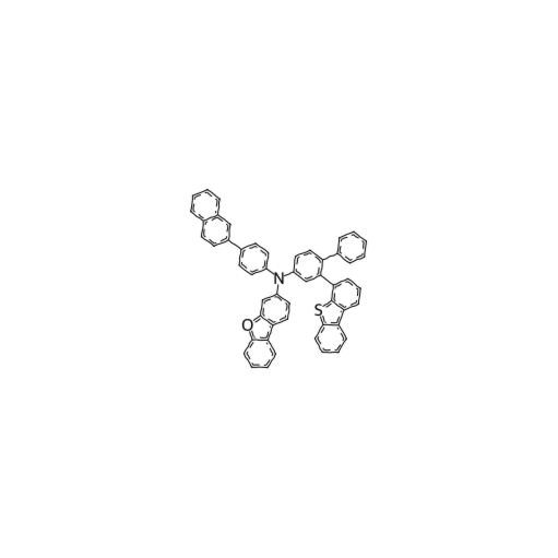 c1ccc(-c2ccc(N(c3ccc(-c4ccc5ccccc5c4)cc3)c3ccc4c(c3)oc3ccccc34)cc2-c2cccc3c2sc2ccccc23)cc1